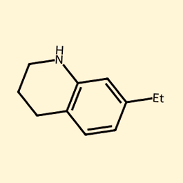 CCc1ccc2c(c1)NCCC2